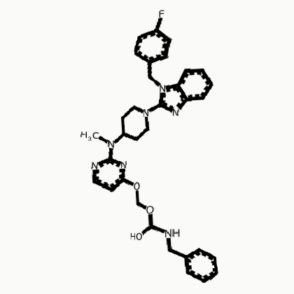 CN(c1nccc(OCOC(O)NCc2ccccc2)n1)C1CCN(c2nc3ccccc3n2Cc2ccc(F)cc2)CC1